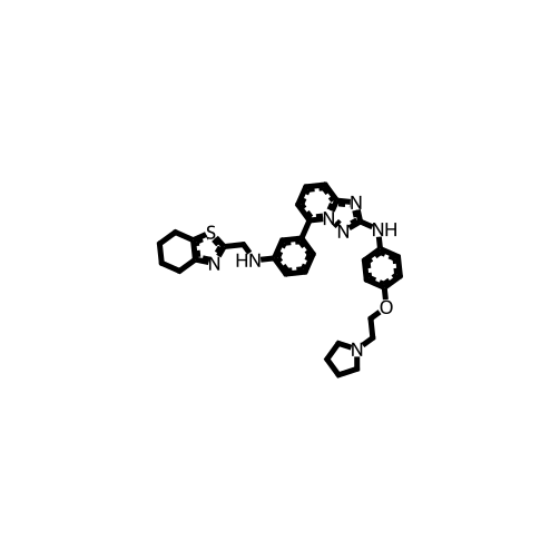 c1cc(NCc2nc3c(s2)CCCC3)cc(-c2cccc3nc(Nc4ccc(OCCN5CCCC5)cc4)nn23)c1